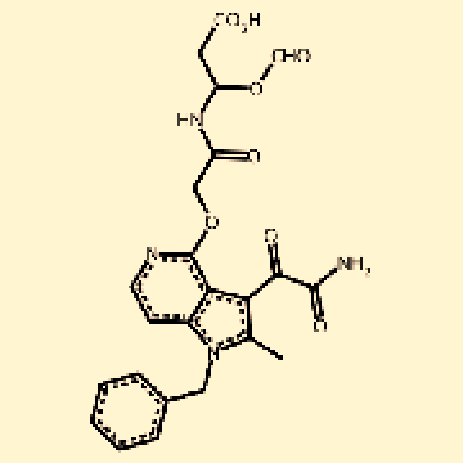 Cc1c(C(=O)C(N)=O)c2c(OCC(=O)NC(CC(=O)O)OC=O)nccc2n1Cc1ccccc1